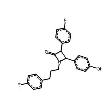 O=C1C(c2ccc(F)cc2)C(c2ccc(O)cc2)N1CCCc1ccc(F)cc1